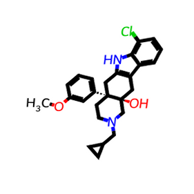 COc1cccc([C@@]23CCN(CC4CC4)C[C@@]2(O)Cc2c([nH]c4c(Cl)cccc24)C3)c1